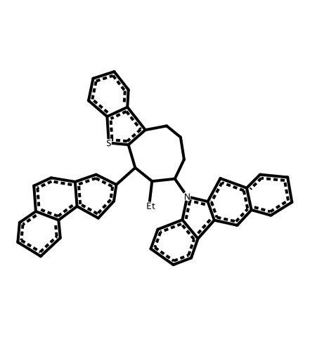 CCC1C(c2ccc3c(ccc4ccccc43)c2)c2sc3ccccc3c2CCCC1n1c2ccccc2c2cc3ccccc3cc21